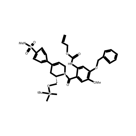 C=CCOC(=O)Nc1cc(OCc2ccccc2)c(OC)cc1C(=O)N1CC=C(c2ccc(S(=O)(=O)NC)cc2)C[C@H]1CO[Si](C)(C)C(C)(C)C